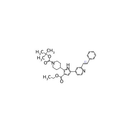 CCOC(=O)c1cc(-c2ccnc(/C=C/c3ccccc3)c2)[nH]c1C1CCN(C(=O)OC(C)(C)C)CC1